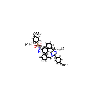 CCOC(=O)[C@]1(c2ccccc2)N=C(c2ccc(OC)cc2)N(Cc2ccccc2)[C@@H]1c1ccc(NS(=O)(=O)c2ccc(OC)cc2OC)cc1